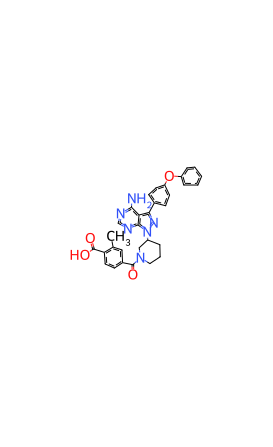 Cc1cc(C(=O)N2CCC[C@@H](n3nc(-c4ccc(Oc5ccccc5)cc4)c4c(N)ncnc43)C2)ccc1C(=O)O